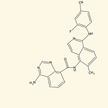 Cc1ccc2c(Nc3ccc(C#N)cc3F)nccc2c1NC(=O)c1cccc2c(N)ncnc12